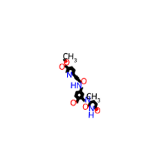 CCOC(=O)c1ccc(C#CC(=O)NCc2ccc(C=O)c(CN(C)C3CCC(=O)NC3=O)c2)nc1